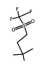 CC(C)(C)CCS(=O)(=O)C(F)(F)F